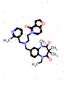 CCN1C(=O)C(C)(C)C(=O)N(C)c2cc(CN(CCn3ccc4occc4c3=O)Cc3cccnc3C)ccc21